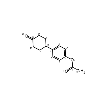 NC(=O)Oc1ccc(C2CCC(=O)CC2)cc1